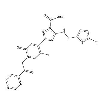 CC(C)(C)C(=O)n1nc(-c2cc(=O)n(CC(=O)c3ccncn3)cc2F)cc1NCc1ccc(Cl)s1